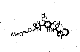 COCCOCc1nc(-c2cc(NC(=O)c3cnc4ccccn34)c(C)cc2C)no1